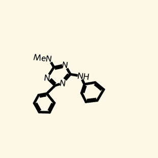 CNc1nc(Nc2ccccc2)nc(-c2ccccc2)n1